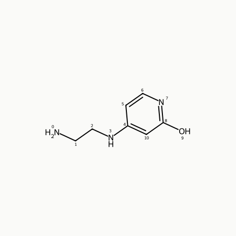 NCCNc1ccnc(O)c1